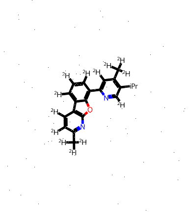 [2H]c1nc(-c2c([2H])c([2H])c([2H])c3c2oc2nc(C([2H])([2H])[2H])c([2H])c([2H])c23)c([2H])c(C([2H])([2H])[2H])c1C(C)C